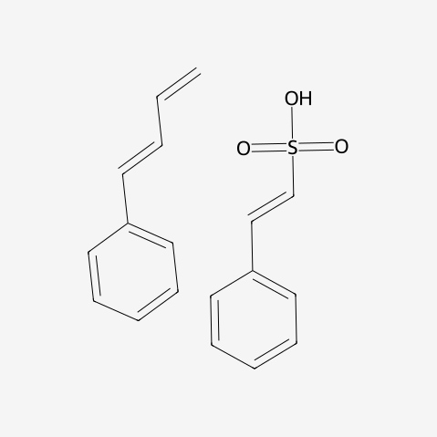 C=CC=Cc1ccccc1.O=S(=O)(O)C=Cc1ccccc1